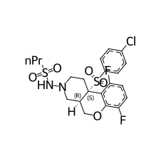 CCCS(=O)(=O)NN1CC[C@@]2(S(=O)(=O)c3ccc(Cl)cc3)c3c(F)ccc(F)c3OC[C@H]2C1